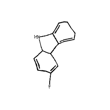 FC1=CC2C3=CCCC=C3NC2C=C1